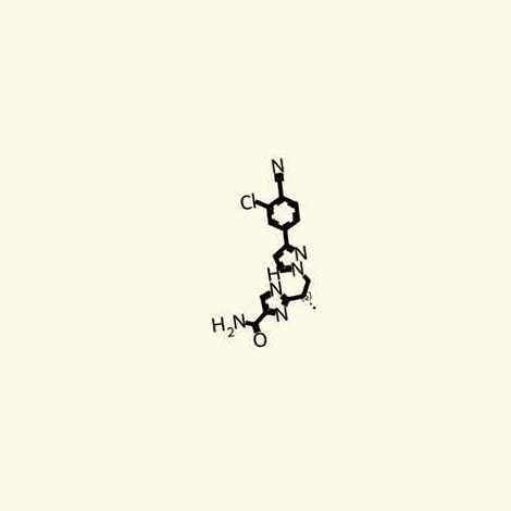 C[C@@H](Cn1ccc(-c2ccc(C#N)c(Cl)c2)n1)c1nc(C(N)=O)c[nH]1